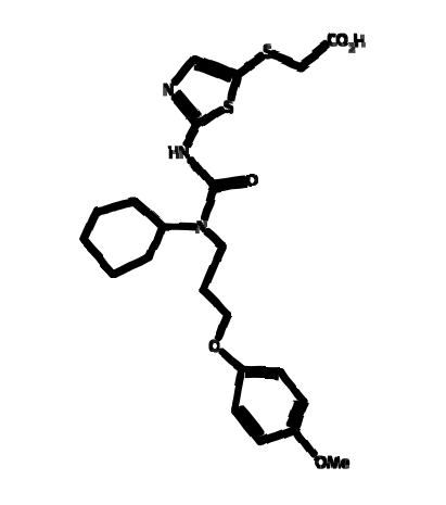 COc1ccc(OCCCN(C(=O)Nc2ncc(SCC(=O)O)s2)C2CCCCC2)cc1